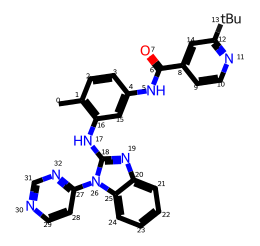 Cc1ccc(NC(=O)c2ccnc(C(C)(C)C)c2)cc1Nc1nc2ccccc2n1-c1ccncn1